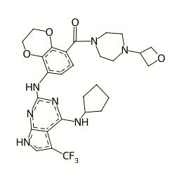 O=C(c1ccc(Nc2nc(NC3CCCC3)c3c(C(F)(F)F)c[nH]c3n2)c2c1OCCO2)N1CCN(C2COC2)CC1